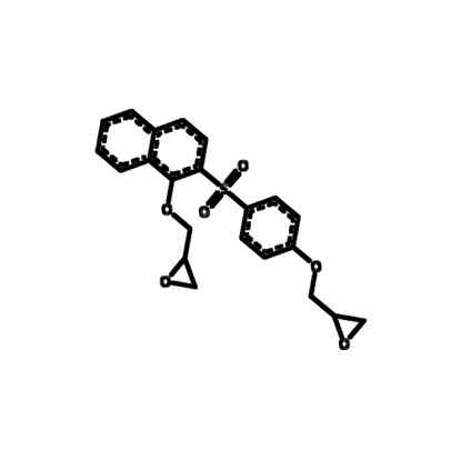 O=S(=O)(c1ccc(OCC2CO2)cc1)c1ccc2ccccc2c1OCC1CO1